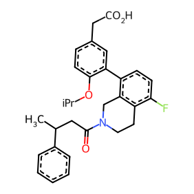 CC(C)Oc1ccc(CC(=O)O)cc1-c1ccc(F)c2c1CN(C(=O)CC(C)c1ccccc1)CC2